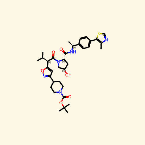 Cc1ncsc1-c1ccc([C@H](C)NC(=O)[C@@H]2C[C@@H](O)CN2C(=O)[C@@H](c2cc(C3CCN(C(=O)OC(C)(C)C)CC3)no2)C(C)C)cc1